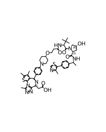 Cc1ncsc1-c1ccc(C(C)NC(=O)[C@@H]2C[C@@H](O)CN2C(=O)C(NC(=O)CCOC2CCN(c3ccc(C4=N[C@@H](CC(=O)O)c5nnc(C)n5-c5sc(C)c(C)c54)cc3)CC2)C(C)(C)C)cc1